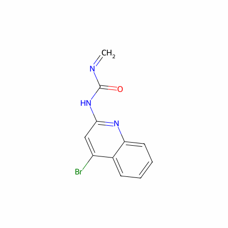 C=NC(=O)Nc1cc(Br)c2ccccc2n1